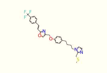 CSCc1nccn1CCCCc1ccc(OCc2coc(C=Cc3ccc(C(F)(F)F)cc3)n2)cc1